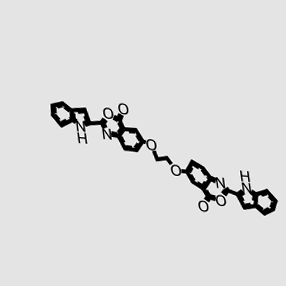 O=c1oc(-c2cc3ccccc3[nH]2)nc2ccc(OCCOc3ccc4nc(-c5cc6ccccc6[nH]5)oc(=O)c4c3)cc12